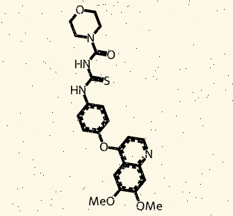 COc1cc2nccc(Oc3ccc(NC(=S)NC(=O)N4CCOCC4)cc3)c2cc1OC